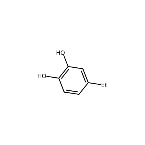 [CH2]Cc1ccc(O)c(O)c1